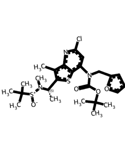 Cc1c([C@H](C)N(C)[S+]([O-])C(C)(C)C)sc2c(N(Cc3ccco3)C(=O)OC(C)(C)C)cc(Cl)nc12